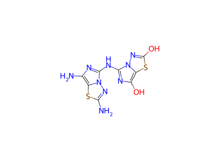 Nc1nn2c(Nc3nc(O)c4sc(O)nn34)nc(N)c2s1